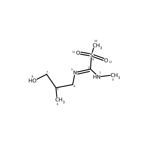 CN/C(=N\CC(C)CO)S(C)(=O)=O